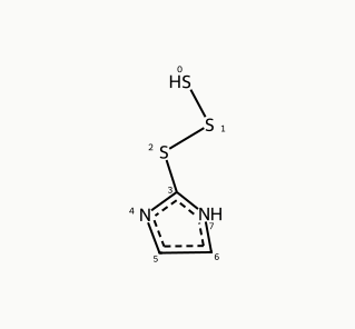 SSSc1ncc[nH]1